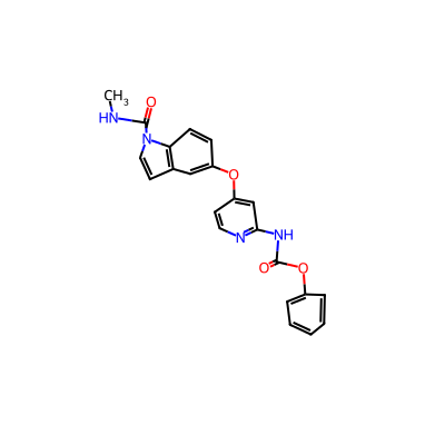 CNC(=O)n1ccc2cc(Oc3ccnc(NC(=O)Oc4ccccc4)c3)ccc21